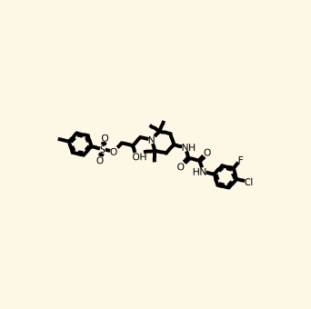 Cc1ccc(S(=O)(=O)OCC(O)CN2C(C)(C)CC(NC(=O)C(=O)Nc3ccc(Cl)c(F)c3)CC2(C)C)cc1